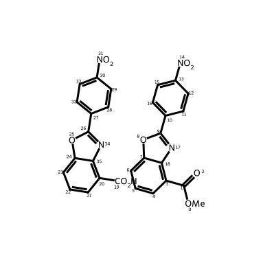 COC(=O)c1cccc2oc(-c3ccc([N+](=O)[O-])cc3)nc12.O=C(O)c1cccc2oc(-c3ccc([N+](=O)[O-])cc3)nc12